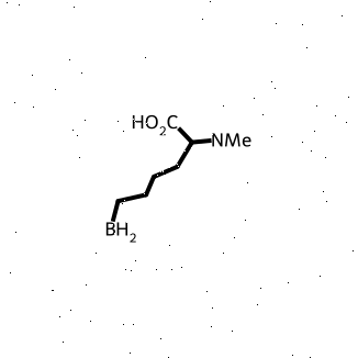 BCCCCC(NC)C(=O)O